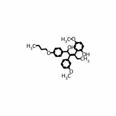 CCCCOc1ccc(C(O)/C(=C(/CC)c2cc(OC)ccc2O)c2cccc(OC)c2)cc1